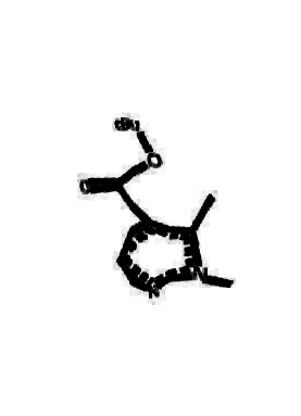 Cc1c(C(=O)OC(C)(C)C)cnn1C